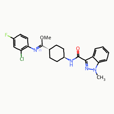 CO/C(=N\c1ccc(F)cc1Cl)[C@H]1CC[C@H](NC(=O)c2nn(C)c3ccccc23)CC1